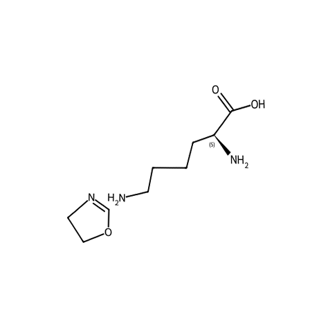 C1=NCCO1.NCCCC[C@H](N)C(=O)O